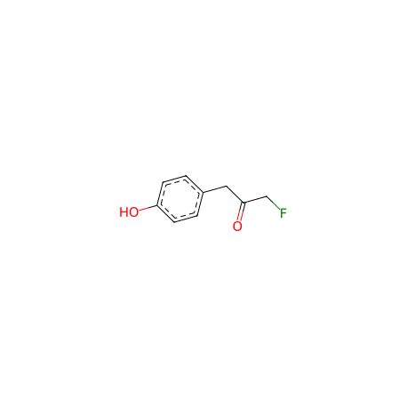 O=C(CF)Cc1ccc(O)cc1